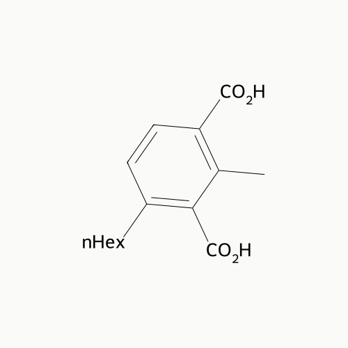 CCCCCCc1ccc(C(=O)O)c(C)c1C(=O)O